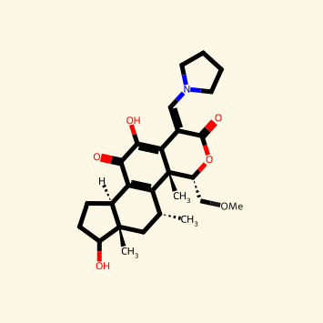 COC[C@H]1OC(=O)/C(=C\N2CCCC2)C2=C(O)C(=O)C3=C([C@H](C)C[C@]4(C)C(O)CC[C@@H]34)[C@]21C